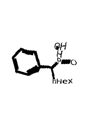 CCCCCCC(c1ccccc1)[PH](=O)O